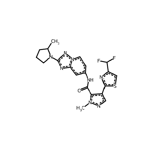 CC1CCCN1c1nc2cc(NC(=O)c3c(-c4nc(C(F)F)cs4)cnn3C)ccn2n1